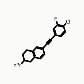 CCCC1CCc2cc(C#Cc3ccc(Cl)c(F)c3)ccc2C1